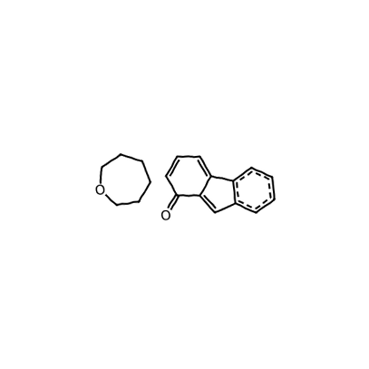 C1CCCOCC1.O=C1C=CC=C2C1=Cc1ccccc12